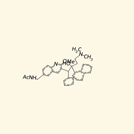 COc1nc2ccc(CNC(C)=O)cc2cc1C(c1ccccc1)C(O)(CCN(C)C)c1cccc2ccccc12